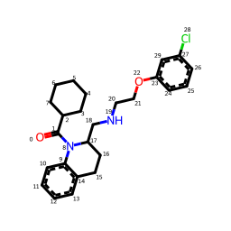 O=C(C1CCCCC1)N1c2ccccc2CCC1CNCCOc1cccc(Cl)c1